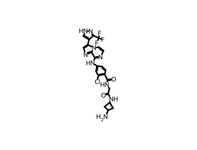 NC1CC(NC(=O)CNC(=O)c2ccc(Nc3nccn4c(-c5c[nH]nc5C(F)(F)F)cnc34)cc2Cl)C1